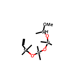 C=C[Si](C)(C)O[Si](C)(C)O[Si](C)(C)O[SiH](C)OC